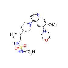 COc1cc2nccc(N3CCC(C(C)CNS(=O)(=O)NC(=O)O)CC3)c2cc1N1CCOCC1